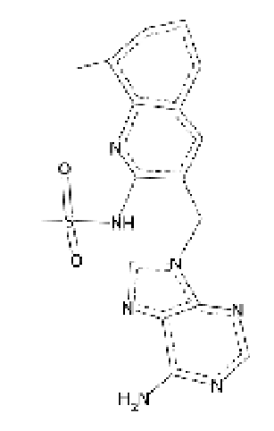 Cc1cccc2cc(Cn3cnc4c(N)ncnc43)c(NS(C)(=O)=O)nc12